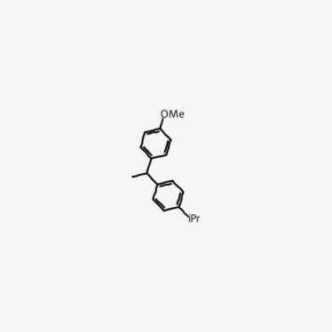 COc1ccc(C(C)c2ccc(C(C)C)cc2)cc1